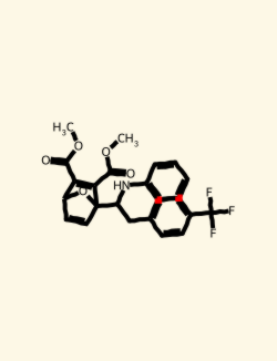 COC(=O)C1=C(C(=O)OC)C2(C(Cc3ccc(C(F)(F)F)cc3)Nc3ccccc3)C=CC1O2